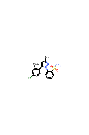 COc1cc(Cl)ccc1-c1cc(C(F)(F)F)nn1-c1ccccc1S(N)(=O)=O